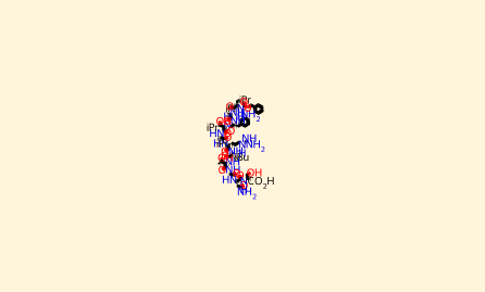 CC[C@H](C)[C@H](NC(=O)[C@@H](CCCNC(=N)N)NC(=O)[C@H](CC(C)C)NC(=O)[C@@H](NC(=O)[C@H](Cc1cccc(N)c1)NC(=O)[C@H](CC(C)C)NC(=O)[C@@H](CC(C)C)NC(=O)OCc1ccccc1)C(O)C(C)C)C(=O)N[C@H](C(=O)NCC(=O)N[C@@H](CC(N)=O)C(=O)N[C@@H](CO)C(=O)O)[C@@H](C)O